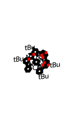 CC(C)(C)c1ccc2c(c1)c1ccccc1n2-c1c(C#N)c(-n2c3ccccc3c3cc(C(C)(C)C)ccc32)c(-n2c3ccccc3c3cc(C(C)(C)C)ccc32)c(-n2c3ccccc3c3cc(C(C)(C)C)ccc32)c1-c1cccnc1